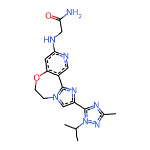 Cc1nc(-c2cn3c(n2)-c2cnc(NCC(N)=O)cc2OCC3)n(C(C)C)n1